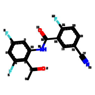 CC(=O)c1c(F)cc(F)cc1NC(=O)c1cc(C#N)ccc1F